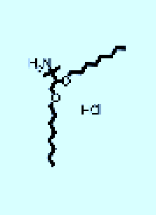 CCCCCCCCOCC(OCCCCCCCC)C(C)(C)N.Cl